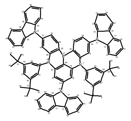 CC(C)(C)c1cc(N2c3cc(-n4c5ccccc5c5ccccc54)ccc3B3c4ccc(-n5c6ccccc6c6ccccc65)cc4N(c4cc(C(C)(C)C)cc(C(C)(C)C)c4)c4cc(-n5c6ccccc6c6ccccc65)cc2c43)cc(C(C)(C)C)c1